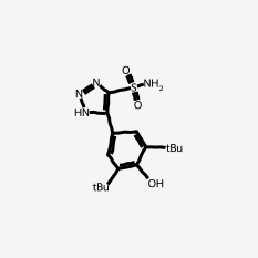 CC(C)(C)c1cc(-c2[nH]nnc2S(N)(=O)=O)cc(C(C)(C)C)c1O